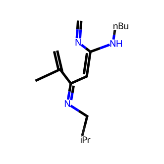 C=N/C(=C\C(=N/CC(C)C)C(=C)C)NCCCC